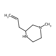 C=CCC1CN(C)CCN1